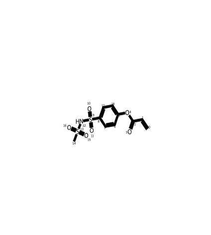 C=CC(=O)Oc1ccc(S(=O)(=O)NS(C)(=O)=O)cc1